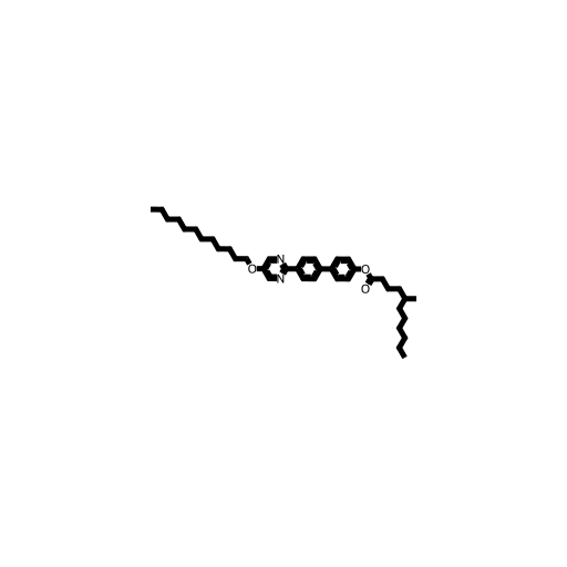 CCCCCCCCCCCCOc1cnc(-c2ccc(-c3ccc(OC(=O)CCCC(C)CCCCCC)cc3)cc2)nc1